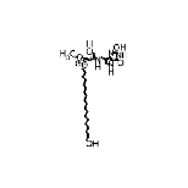 CCOP(=O)(CC[C@@H](CO)NCc1c[nH]c2c(=O)[nH]c(O)nc12)OCCCCCCCCCCCCCCCCCCCO